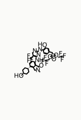 COc1cc(CP(=O)(OCC(F)(F)F)OCC(F)(F)F)ccc1Nc1ncc(C(F)(F)F)c(Nc2ccc([C@H]3CC[C@H](O)CC3)c3c2C(=O)N(C)C3)n1